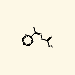 C/C(=N/NC(N)=S)c1ccccn1